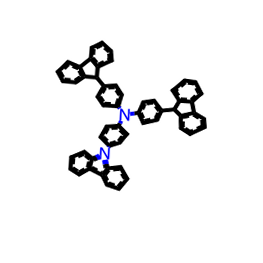 c1ccc2c(c1)-c1ccccc1C2c1ccc(N(c2ccc(C3c4ccccc4-c4ccccc43)cc2)c2ccc(-n3c4ccccc4c4ccccc43)cc2)cc1